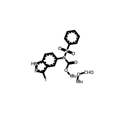 CC(C)(C)OC(=O)N(c1ccc2[nH]nc(I)c2c1)S(=O)(=O)c1ccccc1.CC(C)(C)OC=O